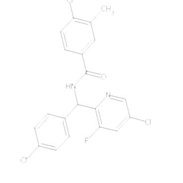 Cc1cc(C(=O)NC(c2ccc(Cl)cc2)c2ncc(Cl)cc2F)ccc1Cl